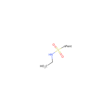 CCCCCS(=O)(=O)NCC(=O)O